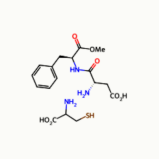 COC(=O)[C@H](Cc1ccccc1)NC(=O)[C@@H](N)CC(=O)O.NC(CS)C(=O)O